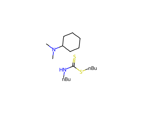 CCCCNC(=S)SCCCC.CN(C)C1CCCCC1